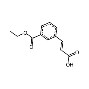 CCOC(=O)c1cccc(C=CC(=O)O)c1